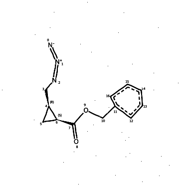 [N-]=[N+]=NC[C@@H]1C[C@@H]1C(=O)OCc1ccccc1